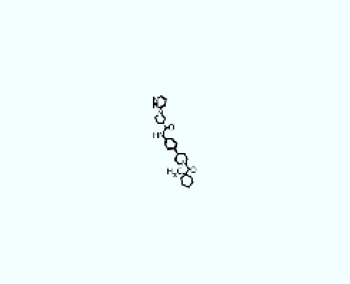 CC1(C(=O)N2CCC(c3ccc(NC(=O)[C@H]4CCN(c5cccnn5)C4)cc3)CC2)CCCCC1